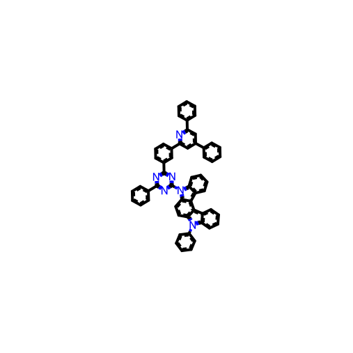 c1ccc(-c2cc(-c3ccccc3)nc(-c3cccc(-c4nc(-c5ccccc5)nc(-n5c6ccccc6c6c7c8ccccc8n(-c8ccccc8)c7ccc65)n4)c3)c2)cc1